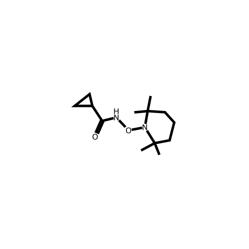 CC1(C)CCCC(C)(C)N1ONC(=O)C1CC1